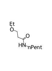 CCCCCNC(=O)CCOCC